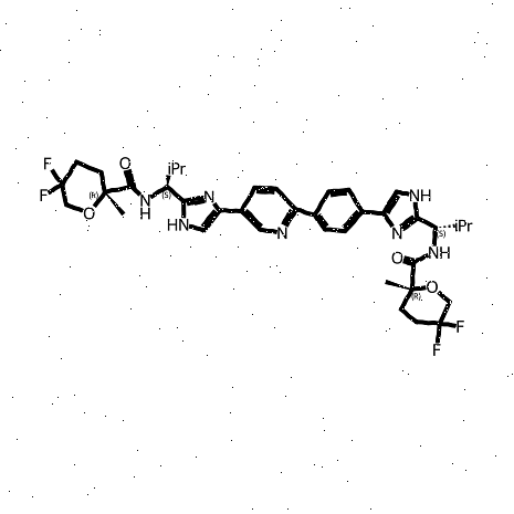 CC(C)[C@H](NC(=O)[C@@]1(C)CCC(F)(F)CO1)c1nc(-c2ccc(-c3ccc(-c4c[nH]c([C@@H](NC(=O)[C@@]5(C)CCC(F)(F)CO5)C(C)C)n4)cn3)cc2)c[nH]1